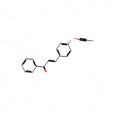 CCCCC#COc1ccc(C=CC(=O)c2ccccc2)cc1